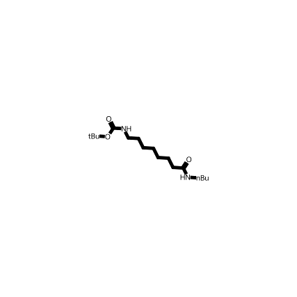 CCCCNC(=O)CCCCCCCNC(=O)OC(C)(C)C